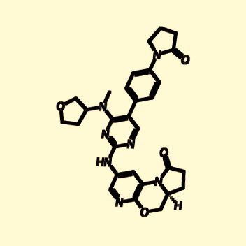 CN(c1nc(Nc2cnc3c(c2)N2C(=O)CC[C@H]2CO3)ncc1-c1ccc(N2CCCC2=O)cc1)C1CCOC1